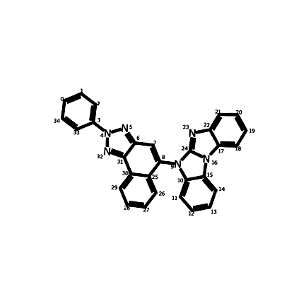 c1ccc(-n2nc3cc(-n4c5ccccc5n5c6ccccc6nc45)c4ccccc4c3n2)cc1